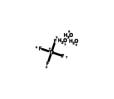 O.O.O.[F][Ta]([F])([F])[F]